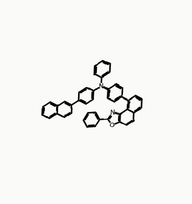 c1ccc(-c2nc3c(ccc4cccc(-c5ccc(N(c6ccccc6)c6ccc(-c7ccc8ccccc8c7)cc6)cc5)c43)o2)cc1